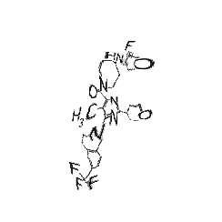 Cc1c(C(=O)N2CCC(N[C@H]3CCOC[C@H]3F)CC2)nc(C2CCOCC2)nc1N1CCc2cc(C(F)(F)F)ccc2C1